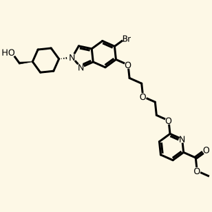 COC(=O)c1cccc(OCCOCCOc2cc3nn([C@H]4CC[C@H](CO)CC4)cc3cc2Br)n1